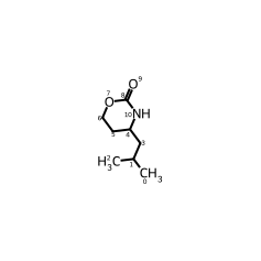 CC(C)CC1CCOC(=O)N1